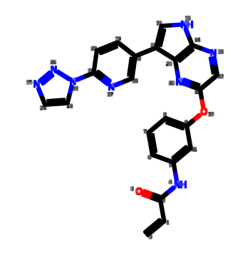 C=CC(=O)Nc1cccc(Oc2cnc3[nH]cc(-c4ccc(-n5ccnn5)nc4)c3n2)c1